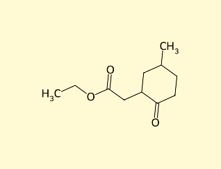 CCOC(=O)CC1CC(C)CCC1=O